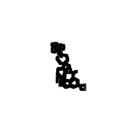 CC(OCC1(c2ccccc2)CCN(C(=O)OC(C)(C)C)CC1)c1cc(Cl)cc2cn[nH]c12